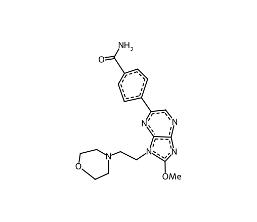 COc1nc2ncc(-c3ccc(C(N)=O)cc3)nc2n1CCN1CCOCC1